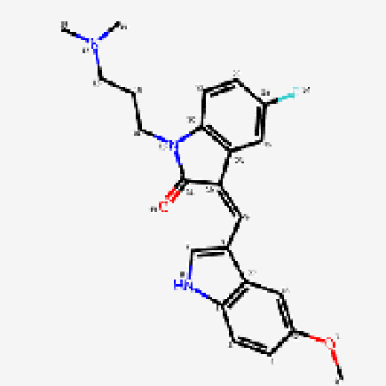 COc1ccc2[nH]cc(C=C3C(=O)N(CCCN(C)C)c4ccc(F)cc43)c2c1